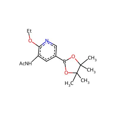 CCOc1ncc(B2OC(C)(C)C(C)(C)O2)cc1NC(C)=O